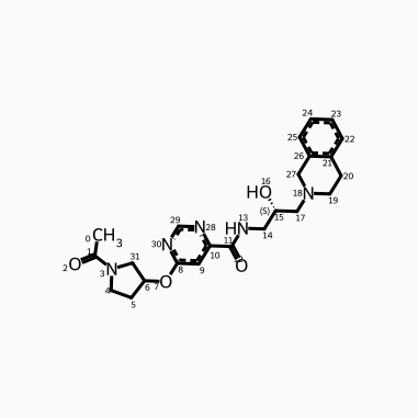 CC(=O)N1CCC(Oc2cc(C(=O)NC[C@H](O)CN3CCc4ccccc4C3)ncn2)C1